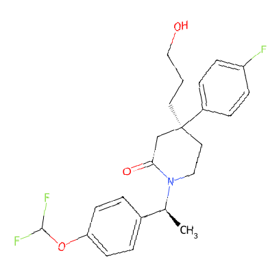 C[C@@H](c1ccc(OC(F)F)cc1)N1CC[C@](CCCO)(c2ccc(F)cc2)CC1=O